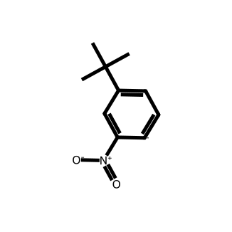 CC(C)(C)c1cc[c]c([N+](=O)[O-])c1